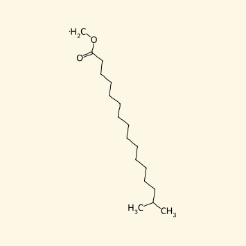 [CH2]OC(=O)CCCCCCCCCCCCCC(C)C